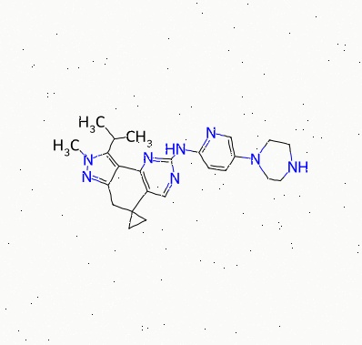 CC(C)c1c2c(nn1C)CC1(CC1)c1cnc(Nc3ccc(N4CCNCC4)cn3)nc1-2